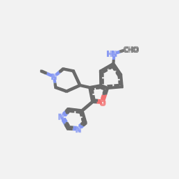 CN1CCC(c2c(-c3cncnc3)oc3ccc(NC=O)cc23)CC1